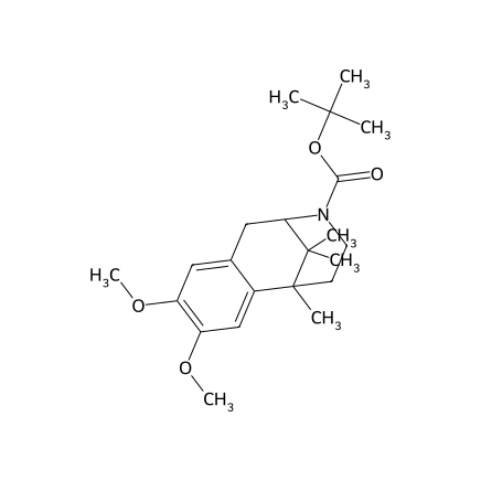 COc1cc2c(cc1OC)C1(C)CCN(C(=O)OC(C)(C)C)C(C2)C1(C)C